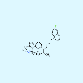 C/N=C(/C)C(=C(C)C)c1cccc(C(CCCCc2cccc3cc(F)ccc23)=C(C)C)c1C